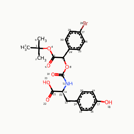 CC(C)(C)OC(=O)C(OC(=O)N[C@@H](Cc1ccc(O)cc1)C(=O)O)c1ccc(Br)cc1